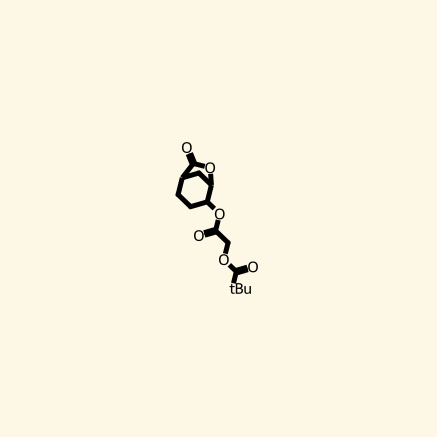 CC(C)(C)C(=O)OCC(=O)OC1CCC2CC1OC2=O